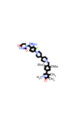 COc1cc(-c2cn(C)c(=O)c(C)c2C)cc(OC)c1CN1CCC(C2CCN(c3ccc4c(N5CCC(=O)NC5=O)n[nH]c4c3F)CC2)CC1